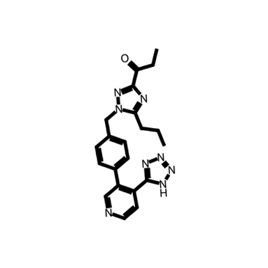 CCCc1nc(C(=O)CC)nn1Cc1ccc(-c2cnccc2-c2nnn[nH]2)cc1